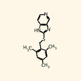 Cc1cc(C)c(CSc2nc3cnccc3[nH]2)c(C)c1